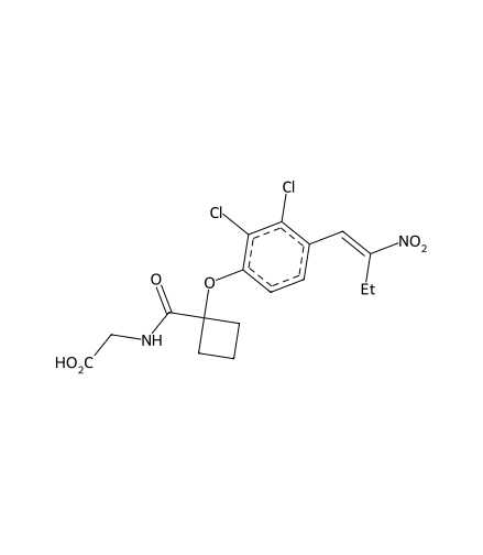 CC/C(=C\c1ccc(OC2(C(=O)NCC(=O)O)CCC2)c(Cl)c1Cl)[N+](=O)[O-]